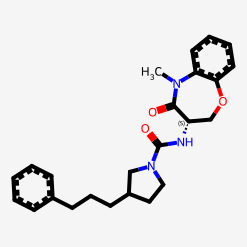 CN1C(=O)[C@@H](NC(=O)N2CCC(CCCc3ccccc3)C2)COc2ccccc21